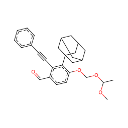 COC(C)OCOc1ccc(C=O)c(C#Cc2ccccc2)c1C12CC3CC(CC(C3)C1)C2